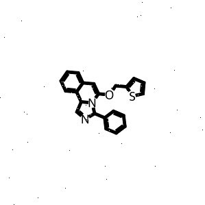 C1=NC(c2ccccc2)N2C(OCc3cccs3)=Cc3ccccc3C12